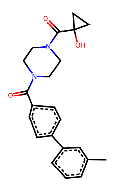 Cc1cccc(-c2ccc(C(=O)N3CCN(C(=O)C4(O)CC4)CC3)cc2)c1